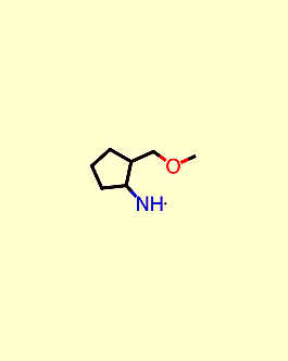 COCC1CCCC1[NH]